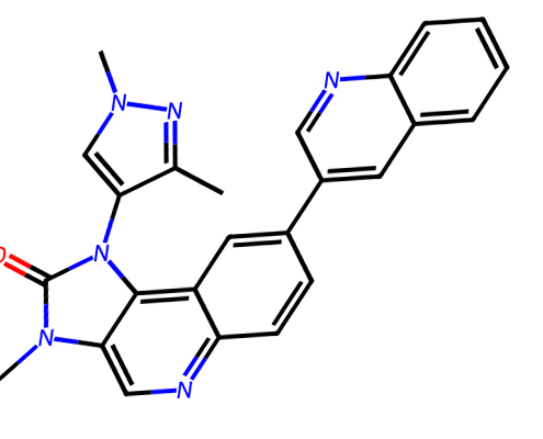 Cc1nn(C)cc1-n1c(=O)n(C)c2cnc3ccc(-c4cnc5ccccc5c4)cc3c21